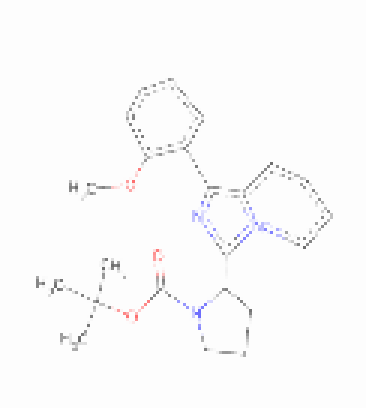 COc1ccccc1-c1nc(C2CCCN2C(=O)OC(C)(C)C)n2ccccc12